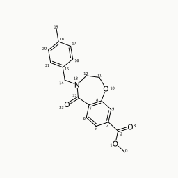 COC(=O)c1ccc2c(c1)OCCN(Cc1ccc(C)cc1)C2=O